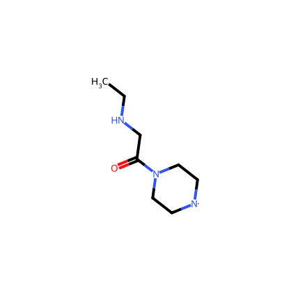 CCNCC(=O)N1CC[N]CC1